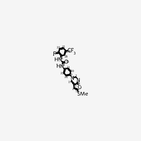 CSc1cc2c(o1)=NCN(c1ccc(NC(=O)Nc3cc(C(F)(F)F)ccc3F)cc1)C=2